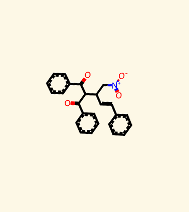 O=C(c1ccccc1)C(C(=O)c1ccccc1)C(C=Cc1ccccc1)C[N+](=O)[O-]